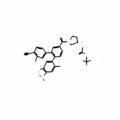 Cn1nnc2cc(-c3ccc(C(=O)N4CC[C@H](NC(=O)OC(C)(C)C)C4)cc3-c3ccc(C#N)c(F)c3)c(F)cc21